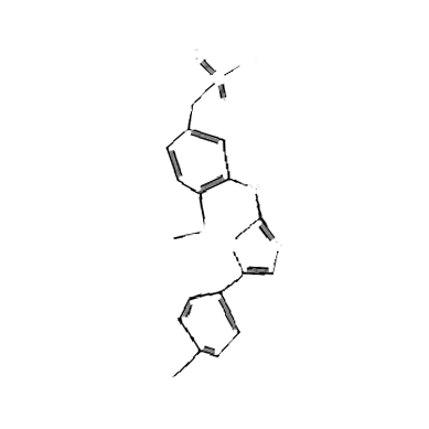 COc1ccc(CS(C)(=O)=O)cc1Nc1ncc(-c2ccc(F)cc2)o1